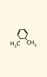 C[C@@H]1C=CC=C[C@H]1C